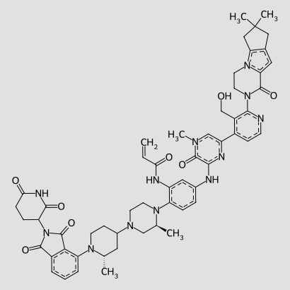 C=CC(=O)Nc1cc(Nc2nc(-c3ccnc(N4CCn5c(cc6c5CC(C)(C)C6)C4=O)c3CO)cn(C)c2=O)ccc1N1CCN(C2CCN(c3cccc4c3C(=O)N(C3CCC(=O)NC3=O)C4=O)[C@@H](C)C2)C[C@@H]1C